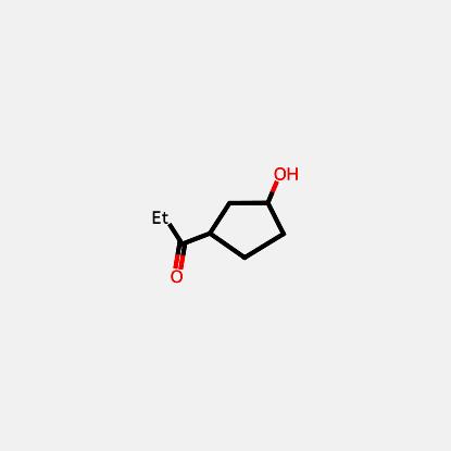 CCC(=O)C1CCC(O)C1